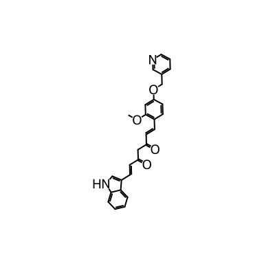 COc1cc(OCc2cccnc2)ccc1C=CC(=O)CC(=O)C=Cc1c[nH]c2ccccc12